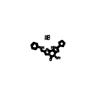 CCCN1C(=O)N2CC(CNc3ccccc3)N=C2c2[nH]c(C3CCCC3)nc21.Cl.Cl